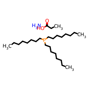 CCC(=O)O.CCCCCCCCP(CCCCCCCC)CCCCCCCC.N